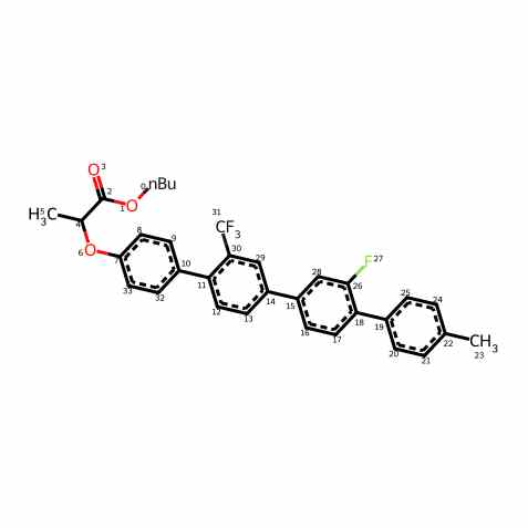 CCCCOC(=O)C(C)Oc1ccc(-c2ccc(-c3ccc(-c4ccc(C)cc4)c(F)c3)cc2C(F)(F)F)cc1